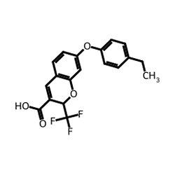 CCc1ccc(Oc2ccc3c(c2)OC(C(F)(F)F)C(C(=O)O)=C3)cc1